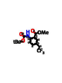 COC(=O)c1cc(CC(F)(F)F)ccc1NC(=O)OC(C)(C)C